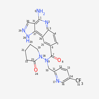 Nc1nc2ccc(C(=O)N(Cc3ccc(C(F)(F)F)cn3)N3CCCCC3=O)cc2c2[nH]ncc12